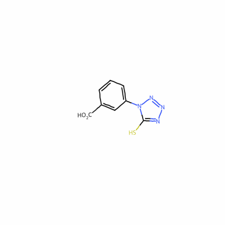 O=C(O)c1cccc(-n2nnnc2S)c1